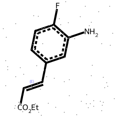 CCOC(=O)/C=C/c1ccc(F)c(N)c1